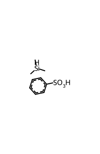 C[SiH](C)C.O=S(=O)(O)c1ccccc1